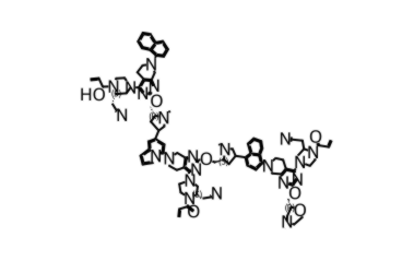 C=CC(=O)N1CCN(c2nc(OC[C@H]3CN(C)CCO3)nc3c2CCN(c2ccc(C4C[C@@H](COc5nc6c(c(N7CCN(C(=O)C=C)[C@@H](CC#N)C7)n5)CCN(c5cc(C7C[C@H](COc8nc9c(c(N%10CCN(C(O)C=C)[C@@H](CC#N)C%10)n8)CCN(c8cccc%10ccccc8%10)C9)N(C)C7)cc7cccn57)C6)N(C)C4)c4ccccc24)C3)CC1CC#N